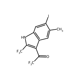 Cc1cc2c(C(=O)C(F)(F)F)c(C(F)(F)F)[nH]c2cc1I